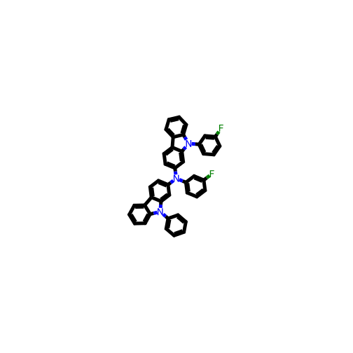 Fc1cccc(N(c2ccc3c4ccccc4n(-c4ccccc4)c3c2)c2ccc3c4ccccc4n(-c4cccc(F)c4)c3c2)c1